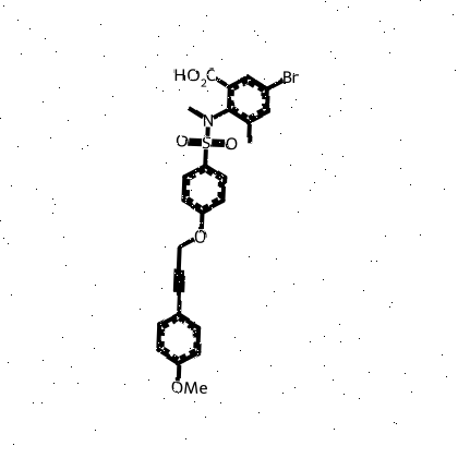 COc1ccc(C#CCOc2ccc(S(=O)(=O)N(C)c3c(C)cc(Br)cc3C(=O)O)cc2)cc1